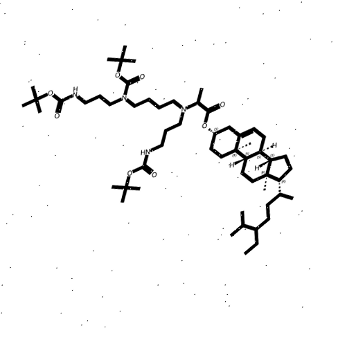 CCC(CCC(C)[C@H]1CC[C@H]2[C@@H]3CC=C4C[C@@H](OC(=O)C(C)N(CCCCN(CCCNC(=O)OC(C)(C)C)C(=O)OC(C)(C)C)CCCNC(=O)OC(C)(C)C)CC[C@]4(C)[C@H]3CC[C@]12C)C(C)C